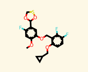 COc1cc(F)c(C2OCSO2)cc1OCc1c(OCC2CC2)ccc(F)c1F